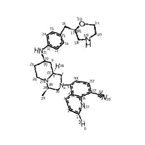 [2H]c1ccc2c(N3C[C@@H]4C[C@H](Nc5ccc(C[C@@H]6CNCCO6)cc5)CCN4[C@H](C)C3)ccc(C#N)c2n1